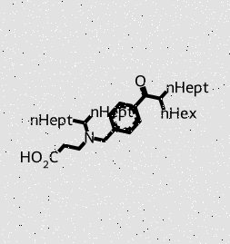 CCCCCCCC(CCCCCC)C(=O)c1ccc(CN(CCC(=O)O)C(CCCCCCC)CCCCCCC)cc1